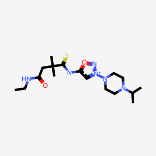 CCNC(=O)CC(C)(C)C(=S)[N-]c1c[n+](N2CCN(C(C)C)CC2)no1